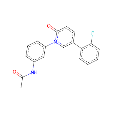 CC(=O)Nc1cccc(-n2cc(-c3ccccc3F)ccc2=O)c1